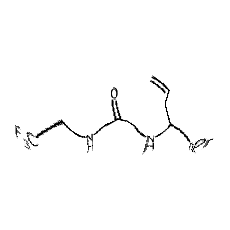 C=CC(CCC)NC(=O)NCC(F)(F)F